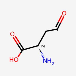 N[C@@H](C[C]=O)C(=O)O